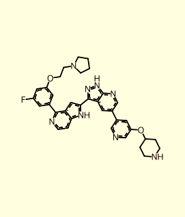 Fc1cc(OCCN2CCCC2)cc(-c2nccc3[nH]c(-c4n[nH]c5ncc(-c6cncc(OC7CCNCC7)c6)cc45)cc23)c1